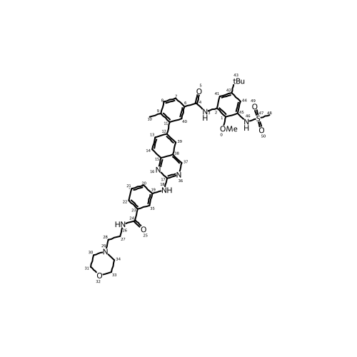 COc1c(NC(=O)c2ccc(C)c(-c3ccc4nc(Nc5c[c]cc(C(=O)NCCN6CCOCC6)c5)ncc4c3)c2)cc(C(C)(C)C)cc1NS(C)(=O)=O